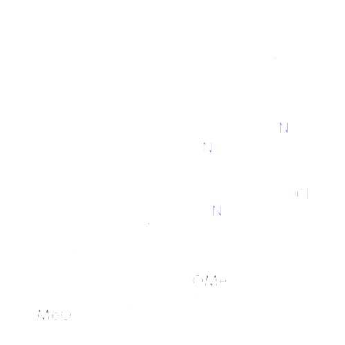 COc1ccc(-c2cn3c(n2)c(Cl)nc2ccccc23)c(OC)c1